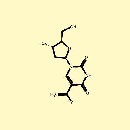 C=C(Cl)c1cn([C@H]2C[C@H](O)[C@@H](CO)O2)c(=O)[nH]c1=O